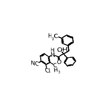 Cc1cccc(CC(O)(C(=O)Nc2ccc(C#N)c(Cl)c2C)c2ccccc2)c1